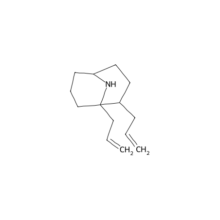 C=CCC1CCC2CCCC1(CC=C)N2